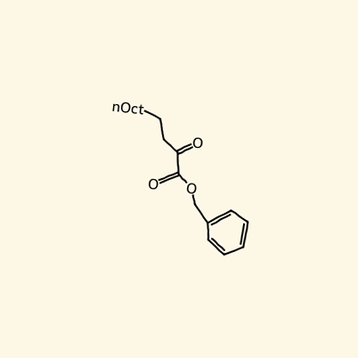 CCCCCCCCCCC(=O)C(=O)OCc1ccccc1